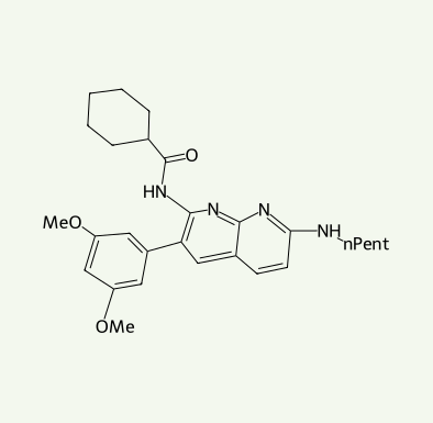 CCCCCNc1ccc2cc(-c3cc(OC)cc(OC)c3)c(NC(=O)C3CCCCC3)nc2n1